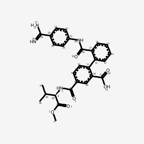 COC(=O)[C@H](NC(=O)c1ccc(-c2ccccc2C(=O)Nc2ccc(C(=N)N)cc2)c(C(=O)O)c1)C(C)C